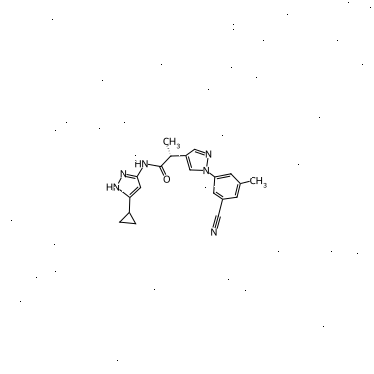 Cc1cc(C#N)cc(-n2cc([C@@H](C)C(=O)Nc3cc(C4CC4)[nH]n3)cn2)c1